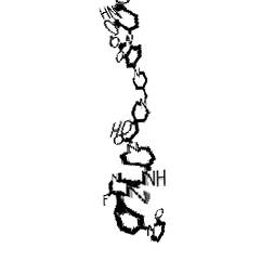 O=C1CCC(n2c(=O)oc3cc(N4CCC(CN5CCC(O)(CC(=O)N6CCC(Nc7ncc(F)c(-c8cccc(-n9ccccc9=O)c8)n7)CC6)CC5)CC4)ccc32)C(=O)N1